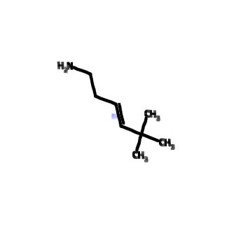 CC(C)(C)/C=C/CCN